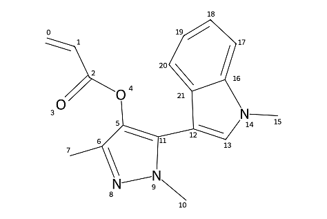 C=CC(=O)Oc1c(C)nn(C)c1-c1cn(C)c2ccccc12